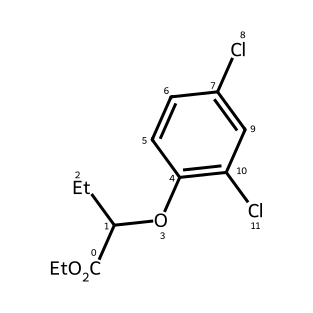 CCOC(=O)C(CC)Oc1ccc(Cl)cc1Cl